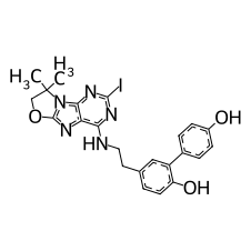 CC1(C)COc2nc3c(NCCc4ccc(O)c(-c5ccc(O)cc5)c4)nc(I)nc3n21